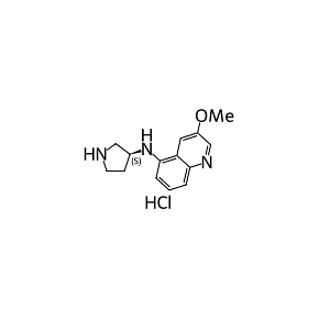 COc1cnc2cccc(N[C@H]3CCNC3)c2c1.Cl